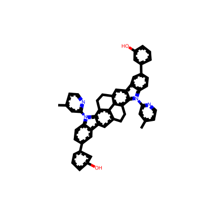 Cc1ccnc(-n2c3ccc(-c4cccc(O)c4)cc3c3cc4c5c(c32)CCc2cc3c6cc(-c7cccc(O)c7)ccc6n(-c6cc(C)ccn6)c3c(c2-5)CC4)c1